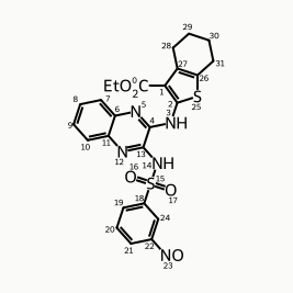 CCOC(=O)c1c(Nc2nc3ccccc3nc2NS(=O)(=O)c2cccc(N=O)c2)sc2c1CCCC2